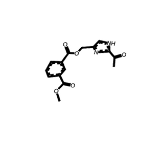 COC(=O)c1cccc(C(=O)OCc2c[nH]c(C(C)=O)n2)c1